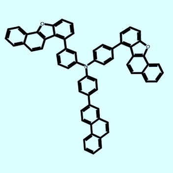 c1cc(-c2cccc3oc4c5ccccc5ccc4c23)cc(N(c2ccc(-c3ccc4c(ccc5ccccc54)c3)cc2)c2ccc(-c3cccc4oc5c6ccccc6ccc5c34)cc2)c1